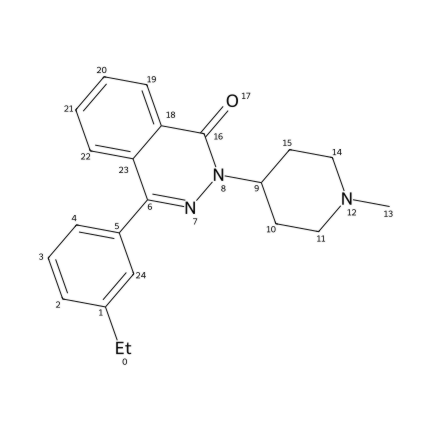 [CH2]Cc1cccc(-c2nn(C3CCN(C)CC3)c(=O)c3ccccc23)c1